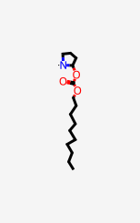 CCCCCCCCCCOC(=O)OC1CCC[N]1